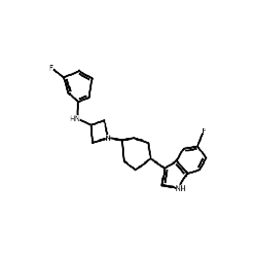 Fc1cccc(NC2CN(C3CCC(c4c[nH]c5ccc(F)cc45)CC3)C2)c1